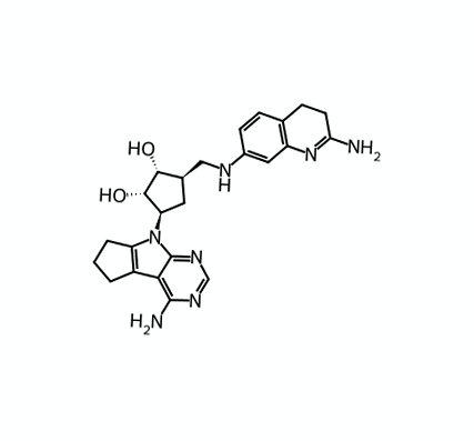 NC1=Nc2cc(NC[C@H]3C[C@@H](n4c5c(c6c(N)ncnc64)CCC5)[C@H](O)[C@@H]3O)ccc2CC1